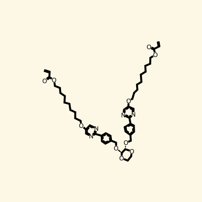 C=CC(=O)OCCCCCCCCCCOc1cnc(-c2ccc(CO[C@@H]3OCCO[C@H]3OCc3ccc(-c4ncc(OCCCCCCCCCCOC(=O)C=C)cn4)cc3)cc2)nc1